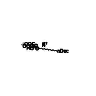 CCCCCCCCCCCCCCCCCCCCCCCCOC(=O)CC(O)(CC(=O)[O-])C(=O)[O-].[K+].[K+]